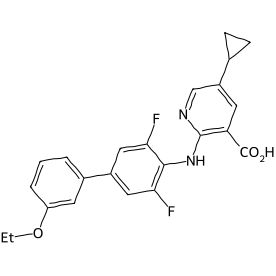 CCOc1cccc(-c2cc(F)c(Nc3ncc(C4CC4)cc3C(=O)O)c(F)c2)c1